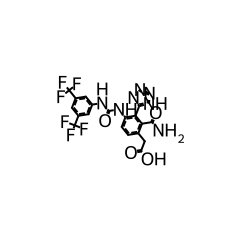 NC(=O)c1c(CC(=O)O)ccc(NC(=O)Nc2cc(C(F)(F)F)cc(C(F)(F)F)c2)c1-c1nnn[nH]1